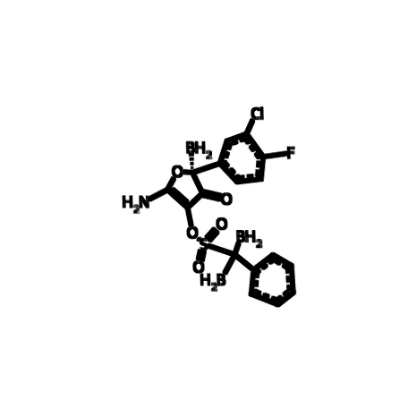 BC(B)(c1ccccc1)S(=O)(=O)OC1=C(N)O[C@@](B)(c2ccc(F)c(Cl)c2)C1=O